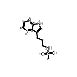 CS(=O)(=O)NCCCc1c[nH]c2nccnc12